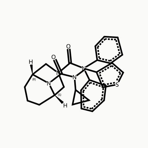 O=C(N1C[C@H]2CCC[C@@H](C1)N2C(=O)N(Cc1ccsc1)C1CC1)N(c1ccccc1)c1ccccc1